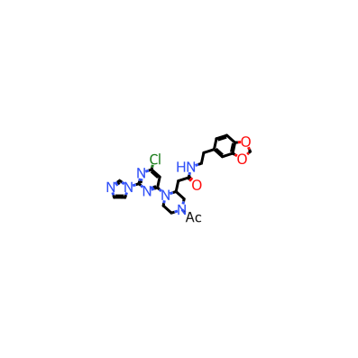 CC(=O)N1CCN(c2cc(Cl)nc(-n3ccnc3)n2)C(CC(=O)NCCc2ccc3c(c2)OCO3)C1